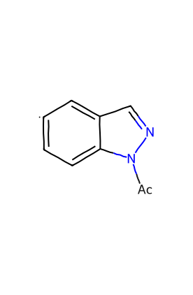 CC(=O)n1ncc2c[c]ccc21